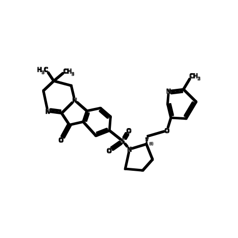 Cc1ccc(OC[C@@H]2CCCN2S(=O)(=O)c2ccc3c(c2)C(=O)C2=NCC(C)(C)CN23)cn1